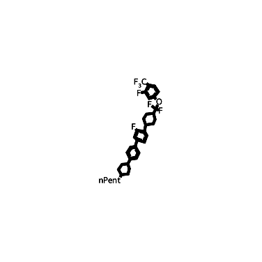 CCCCCC1CCC(c2ccc(-c3ccc(C4CCC(C(F)(F)Oc5ccc(C(F)(F)F)c(F)c5)CC4)c(F)c3)cc2)CC1